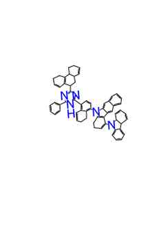 C1=CC2c3ccccc3N(C3=CCCc4c3c3cc5ccccc5cc3n4-c3ccc(C4=NC(C5CC6C=CCCC6C6=C5C=CCC6)=NC(c5ccccc5)N4)c4c3CCC=C4)C2C=C1